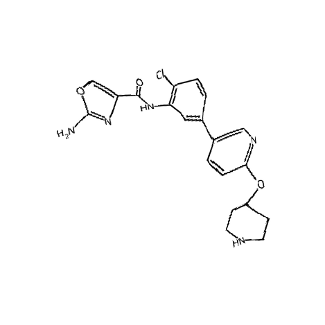 Nc1nc(C(=O)Nc2cc(-c3ccc(OC4CCNCC4)nc3)ccc2Cl)co1